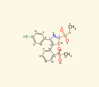 CCS(=O)(=O)c1nc(-c2ccc(F)cc2)c(-c2ccccc2S(C)(=O)=O)s1